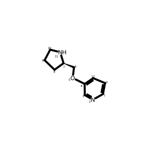 c1cncc(OC[C@H]2CCCN2)c1